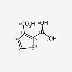 O=C(O)c1ccsc1B(O)O